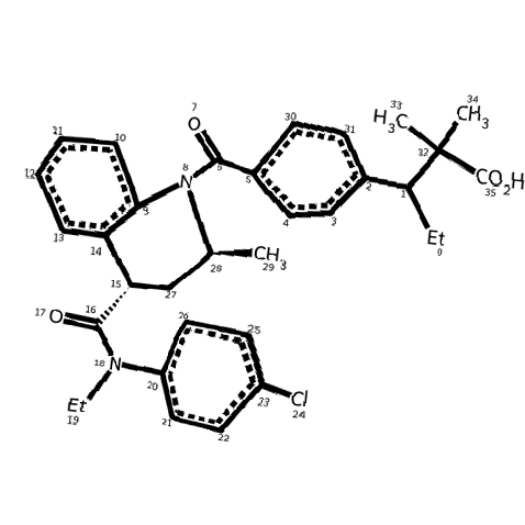 CCC(c1ccc(C(=O)N2c3ccccc3[C@@H](C(=O)N(CC)c3ccc(Cl)cc3)C[C@@H]2C)cc1)C(C)(C)C(=O)O